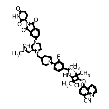 CN(C)C[C@H]1CN(c2ccc3c(c2)C(=O)N(C2CCC(=O)NC2=O)C3=O)CCN1CC1CCN(c2ccc(C(=O)NC3C(C)(C)C(Oc4ccc(C#N)c5ncccc45)C3(C)C)cc2F)CC1